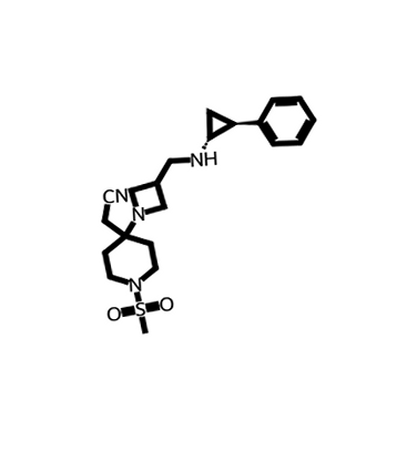 CS(=O)(=O)N1CCC(CC#N)(N2CC(CN[C@@H]3C[C@H]3c3ccccc3)C2)CC1